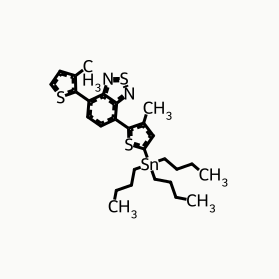 CCC[CH2][Sn]([CH2]CCC)([CH2]CCC)[c]1cc(C)c(-c2ccc(-c3sccc3C)c3nsnc23)s1